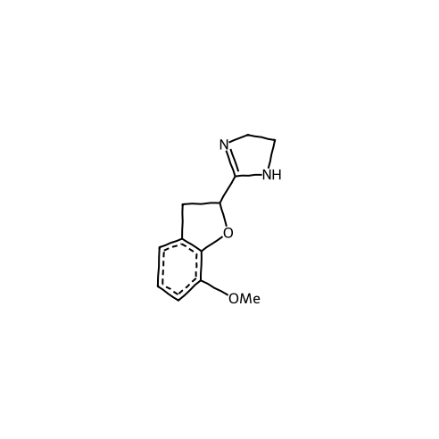 COc1cccc2c1OC(C1=NCCN1)C2